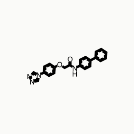 O=C(COc1ccc(-n2cnnc2)cc1)Nc1ccc(-c2ccccc2)cc1